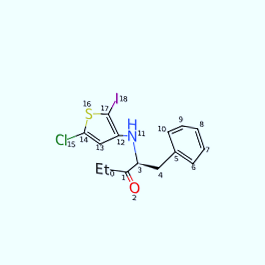 CCC(=O)[C@H](Cc1ccccc1)Nc1cc(Cl)sc1I